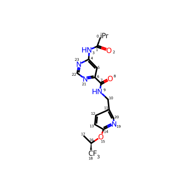 CC(C)C(=O)Nc1cc(C(=O)NCc2ccc(O[C@H](C)C(F)(F)F)nc2)ncn1